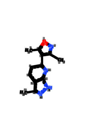 Cc1noc(C)c1-c1ccc2c(C)n[nH]c2n1